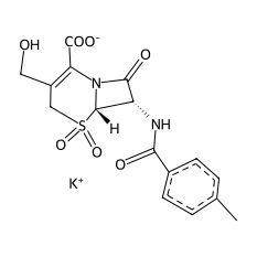 Cc1ccc(C(=O)N[C@H]2C(=O)N3C(C(=O)[O-])=C(CO)CS(=O)(=O)[C@@H]23)cc1.[K+]